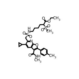 CCOC(=O)C(CCCCNS(=O)(=O)Cc1nc2oc(-c3ccc(C)cc3)c(C(=O)NC)c2cc1C1CC1)S(C)(=O)=O